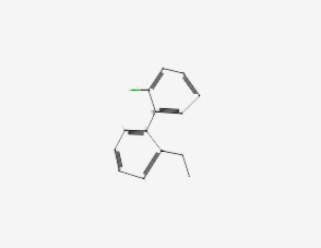 CCc1ccccc1-c1ccccc1Cl